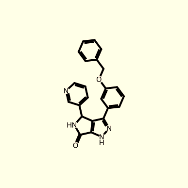 O=C1NC(c2cccnc2)c2c(-c3cccc(OCc4ccccc4)c3)n[nH]c21